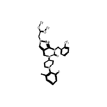 CCOC(Cn1cc2c(n1)N(Cc1ccccc1C(F)(F)F)C(=O)N(C1CCN(c3c(C)cccc3F)CC1)C2)OCC